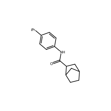 CC(C)c1ccc(NC(=O)C2CC3CCC2C3)cc1